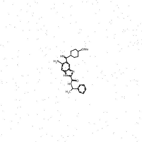 COC1CCC(C(=N)c2cc3nc(C(=O)NC(C)c4ccccc4)[nH]c3cc2N)CC1